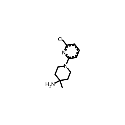 CC1(N)CCN(c2cccc(Cl)n2)CC1